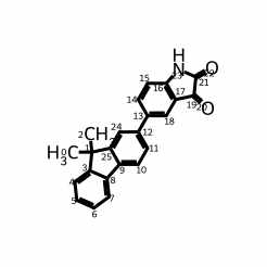 CC1(C)c2ccccc2-c2ccc(-c3ccc4c(c3)C(=O)C(=O)N4)cc21